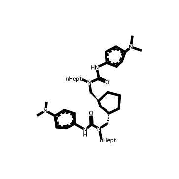 CCCCCCCN(C[C@H]1CCC[C@H](CN(CCCCCCC)C(=O)Nc2ccc(N(C)C)cc2)C1)C(=O)Nc1ccc(N(C)C)cc1